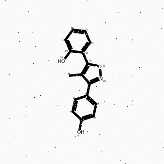 Cc1c(-c2ccc(O)cc2)noc1-c1ccccc1O